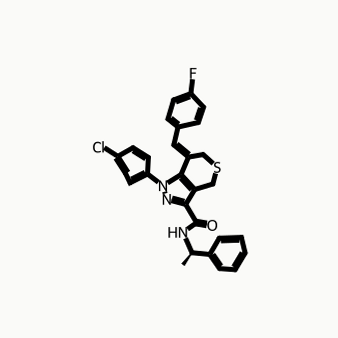 C[C@@H](NC(=O)c1nn(-c2ccc(Cl)cc2)c2c1CSC/C2=C\c1ccc(F)cc1)c1ccccc1